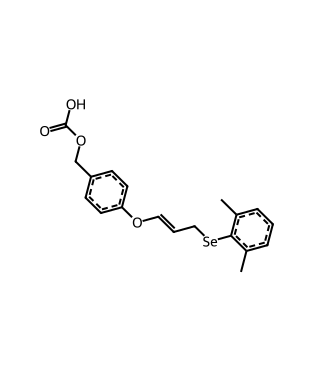 Cc1cccc(C)c1[Se]CC=COc1ccc(COC(=O)O)cc1